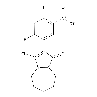 O=c1c(-c2cc([N+](=O)[O-])c(F)cc2F)c(Cl)n2n1CCCCC2